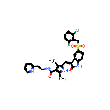 Cc1[nH]c(/C=C2\C(=O)Nc3ccc(S(=O)(=O)Cc4c(Cl)cccc4Cl)cc32)c(C)c1C(=O)NCCc1ccccn1